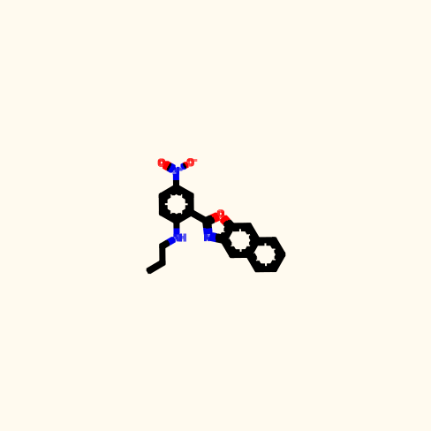 CCCNc1ccc([N+](=O)[O-])cc1-c1nc2cc3ccccc3cc2o1